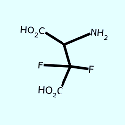 NC(C(=O)O)C(F)(F)C(=O)O